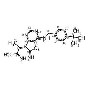 CC(=N)/C(C)=C1\C(=N)Oc2c(NCc3ccc(C(C)(C)O)cc3)ncnc21